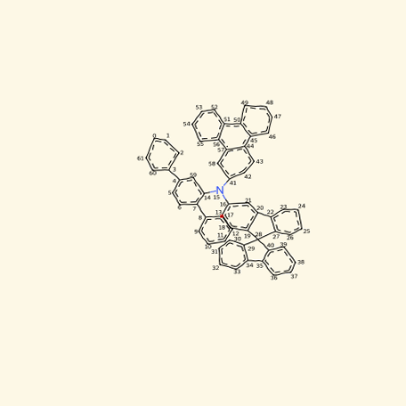 c1ccc(-c2ccc(-c3ccccc3)c(N(c3ccc4c(c3)-c3ccccc3C43c4ccccc4-c4ccccc43)c3ccc4c5ccccc5c5ccccc5c4c3)c2)cc1